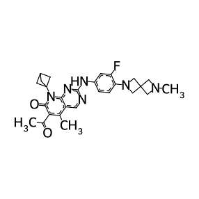 CC(=O)c1c(C)c2cnc(Nc3ccc(N4CC5(CN(C)C5)C4)c(F)c3)nc2n(C23CC(C2)C3)c1=O